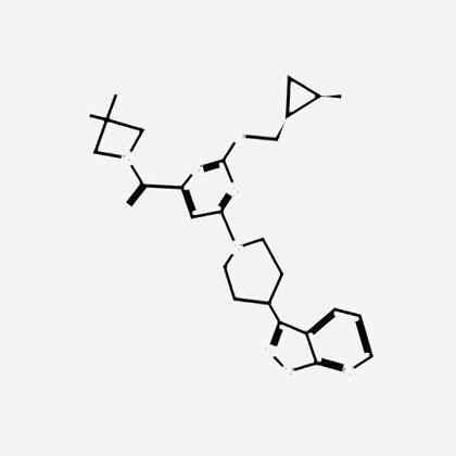 C[C@@H]1C[C@@H]1COc1nc(C(=O)N2CC(F)(F)C2)cc(N2CCC(c3n[nH]c4ncccc34)CC2)n1